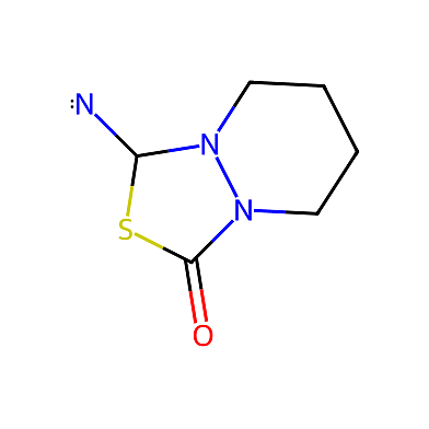 [N]C1SC(=O)N2CCCCN12